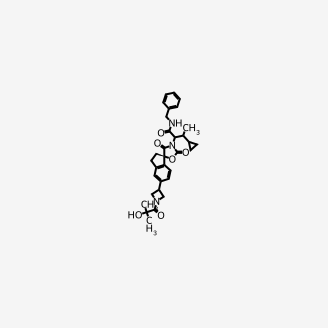 CC(C1CC1)C(C(=O)NCc1ccccc1)N1C(=O)O[C@@]2(CCc3cc(C4CN(C(=O)C(C)(C)O)C4)ccc32)C1=O